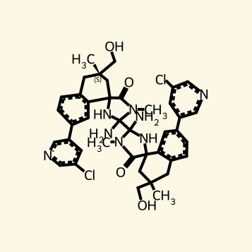 CN1C(=O)C2(CC(C)(CO)Cc3ccc(-c4cncc(Cl)c4)cc32)NC1(N)C1(N)NC2(C[C@@](C)(CO)Cc3ccc(-c4cncc(Cl)c4)cc32)C(=O)N1C